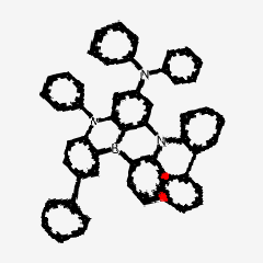 c1ccc(-c2ccc3c(c2)B2c4ccccc4N(c4ccccc4-c4ccccc4)c4cc(N(c5ccccc5)c5ccccc5)cc(c42)N3c2ccccc2)cc1